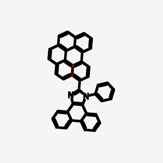 c1ccc(-n2c(-c3ccc(-c4cccc5ccc6ccc7ccccc7c6c45)cc3)nc3c4ccccc4c4ccccc4c32)cc1